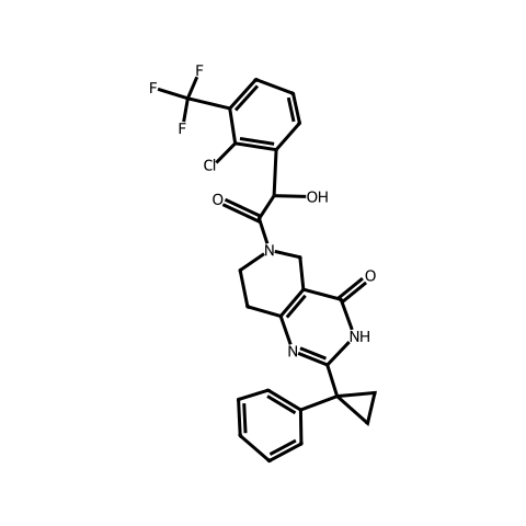 O=C(C(O)c1cccc(C(F)(F)F)c1Cl)N1CCc2nc(C3(c4ccccc4)CC3)[nH]c(=O)c2C1